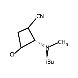 CC[C@H](C)N(C)[C@@H]1C(Cl)CC1C#N